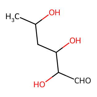 CC(O)CC(O)C(O)C=O